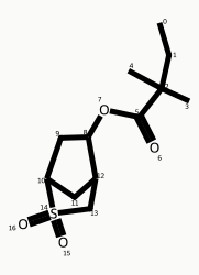 CCC(C)(C)C(=O)OC1CC2CC1CS2(=O)=O